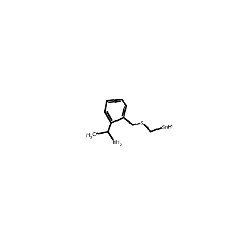 CC(N)c1ccccc1CS[CH2][SnH]